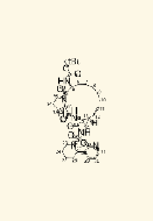 CC(C)(C)OC(=O)N[C@H]1CCCCC/C=C\[C@@H]2C[C@@]2(C(=O)NS(=O)(=O)N2CCCCC2c2cccnc2)NC(=O)[C@@H]2CCCN2C1=O